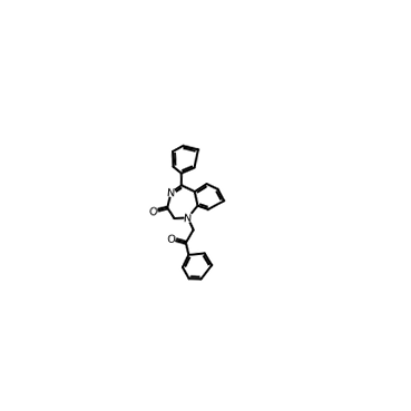 O=C1CN(CC(=O)c2ccccc2)c2ccccc2C(c2ccccc2)=N1